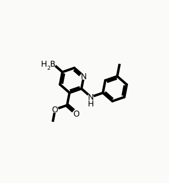 Bc1cnc(Nc2cccc(C)c2)c(C(=O)OC)c1